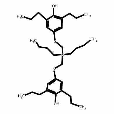 CCCC[Si](CCCC)(CSc1cc(CCC)c(O)c(CCC)c1)CSc1cc(CCC)c(O)c(CCC)c1